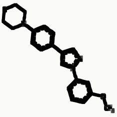 FC(F)(F)Oc1cccc(-n2cc(-c3ccc(N4CCSCC4)cc3)cn2)c1